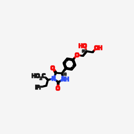 CC(C)CC(C(=O)O)N1C(=O)N[C@H](c2ccc(OC[C@H](O)CO)cc2)C1=O